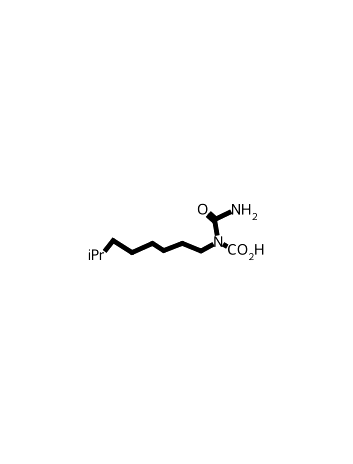 CC(C)CCCCCCN(C(N)=O)C(=O)O